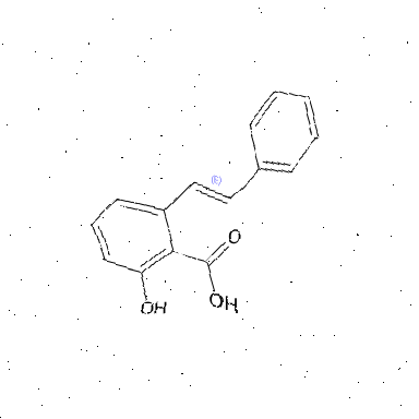 O=C(O)c1c(O)cccc1/C=C/c1ccccc1